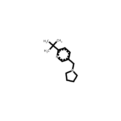 CC(C)(C)c1ccc(CN2CCCC2)cn1